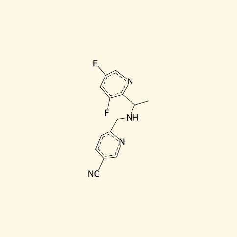 CC(NCc1ccc(C#N)cn1)c1ncc(F)cc1F